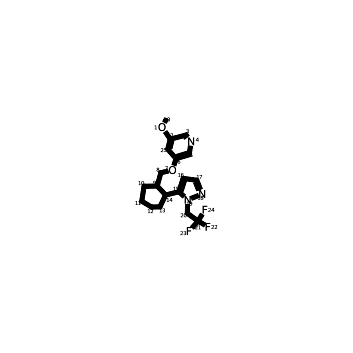 COc1cncc(OCC2CCCCC2c2ccnn2CC(F)(F)F)c1